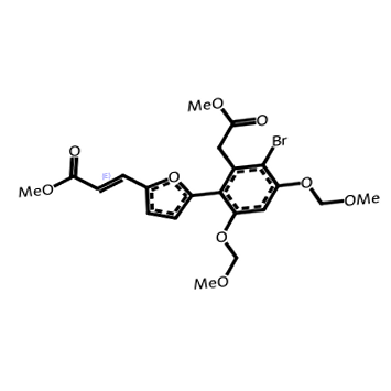 COCOc1cc(OCOC)c(-c2ccc(/C=C/C(=O)OC)o2)c(CC(=O)OC)c1Br